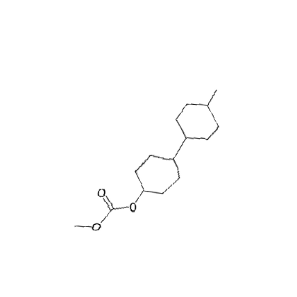 COC(=O)OC1CCC(C2CCC(C)CC2)CC1